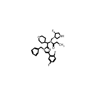 C[CH]C(=O)N(C[C@@H]1CNC[C@@H]1F)C(c1nc(-c2cc(F)ccc2F)cn1Cc1ccccc1)C1CCOCC1